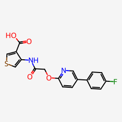 O=C(COc1ccc(-c2ccc(F)cc2)cn1)Nc1cscc1C(=O)O